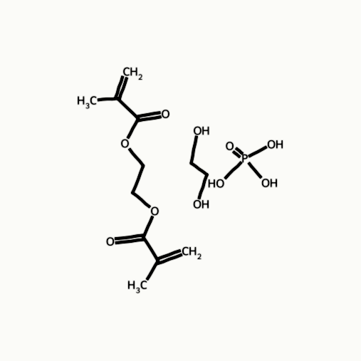 C=C(C)C(=O)OCCOC(=O)C(=C)C.O=P(O)(O)O.OCCO